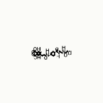 O=C(CCl)NCCNC(=O)[C@H]1CC[C@H](CNC(=O)CCc2ccc(C(=O)O)c(C(=O)O)c2)CC1